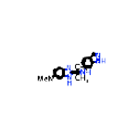 CNc1ccc2nc(C(C)(C)Nc3ccc4cn[nH]c4c3)[nH]c2c1